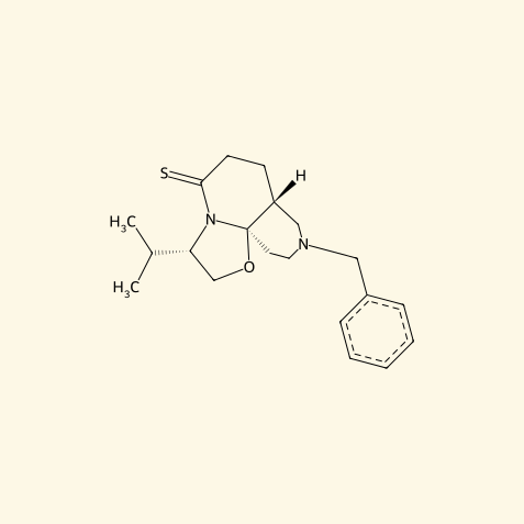 CC(C)[C@H]1CO[C@]23CCN(Cc4ccccc4)C[C@H]2CCC(=S)N13